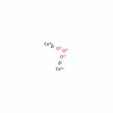 [Ce+3].[Ce+3].[O-2].[O-2].[O-2].[Zr].[Zr]